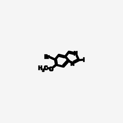 COc1cc2nc(I)ncc2cc1Br